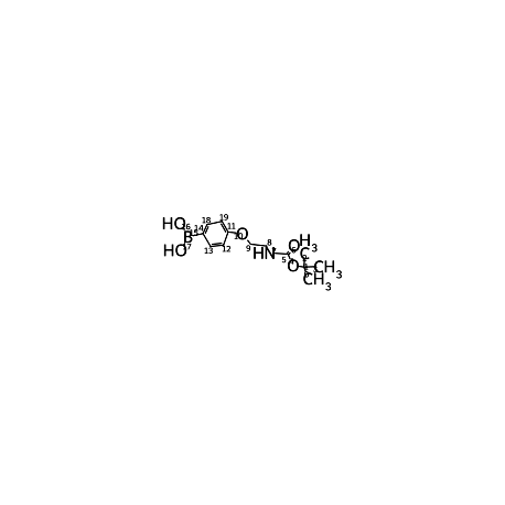 CC(C)(C)OC(=O)NCCOc1ccc(B(O)O)cc1